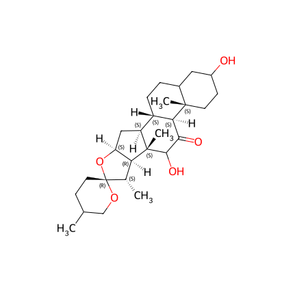 CC1CC[C@@]2(OC1)O[C@H]1C[C@H]3[C@@H]4CCC5CC(O)CC[C@]5(C)[C@H]4C(=O)C(O)[C@]3(C)[C@H]1[C@@H]2C